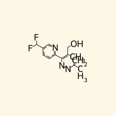 C=C(C)/N=N\C(=C(/C)CO)c1ccc(C(F)F)cn1